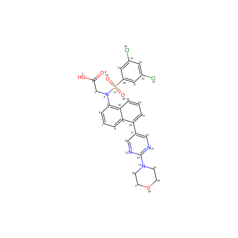 O=C(O)CN(c1cccc2c(-c3cnc(N4CCOCC4)nc3)cccc12)S(=O)(=O)c1cc(Cl)cc(Cl)c1